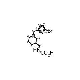 O=C(O)NCC1CCCN(Cc2ncc(Br)s2)C1